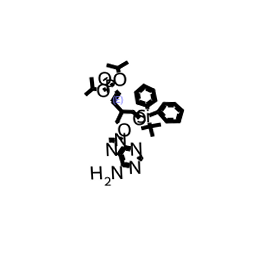 CC(C)OP(=O)(/C=C/C(COn1cnc2c(N)ncnc21)CO[Si](c1ccccc1)(c1ccccc1)C(C)(C)C)OC(C)C